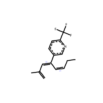 C=C(C)/C=C(\C=C/CC)c1ccc(C(F)(F)F)nc1